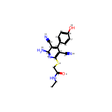 CCNC(=O)CSc1nc(N)c(C#N)c(-c2ccc(O)cc2)c1C#N